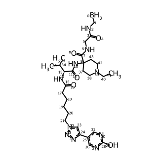 BCNC(=O)CNC(=O)C1(NC(=O)[C@@H](NC(=O)CCCCCn2cc(-c3cnc(O)nc3)nn2)C(C)C)CCN(CC)CC1